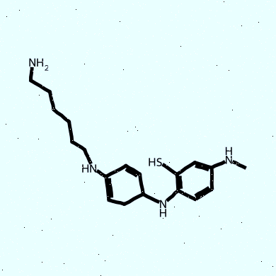 CNc1ccc(NC2C=CC(NCCCCCCN)=CC2)c(S)c1